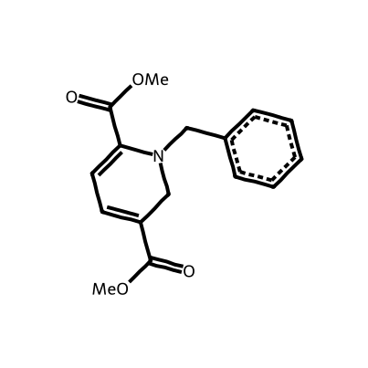 COC(=O)C1=CC=C(C(=O)OC)N(Cc2ccccc2)C1